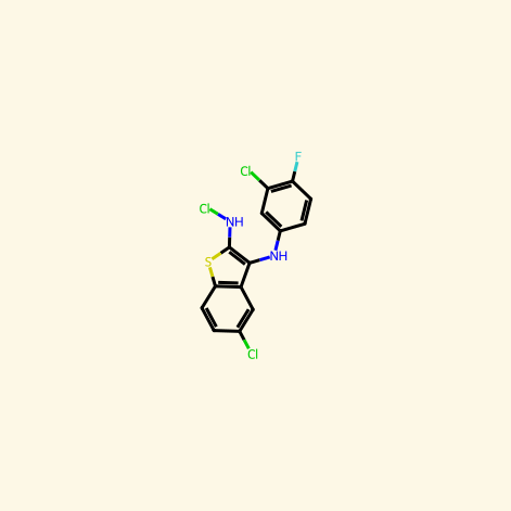 Fc1ccc(Nc2c(NCl)sc3ccc(Cl)cc23)cc1Cl